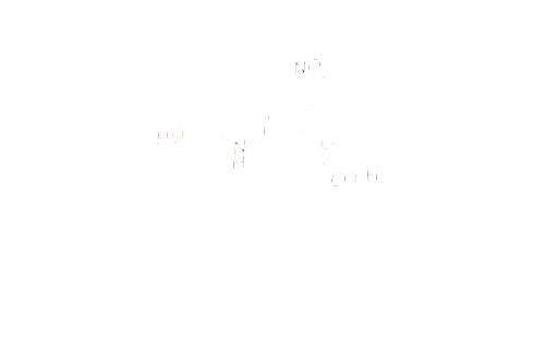 O=C(O)COc1cc(NCCO)cc([N+](=O)[O-])c1